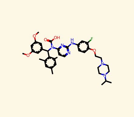 COc1cc(OC)cc(C(c2c(C)cc(C)cc2C)N(C(=O)O)c2ccnc(Nc3ccc(OCCN4CCN(C(C)C)CC4)c(F)c3)n2)c1